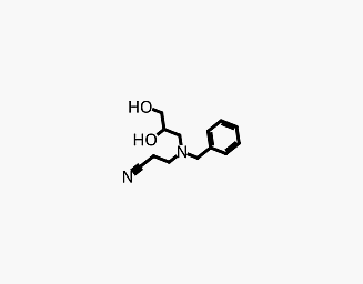 N#CCCN(Cc1ccccc1)CC(O)CO